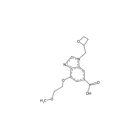 COCCOc1cc(C(=O)O)cc2c1ncn2CC1CCO1